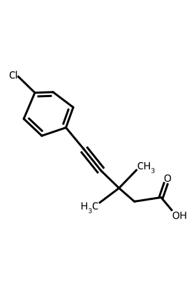 CC(C)(C#Cc1ccc(Cl)cc1)CC(=O)O